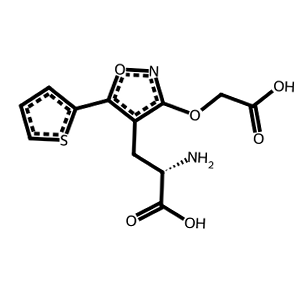 N[C@@H](Cc1c(OCC(=O)O)noc1-c1cccs1)C(=O)O